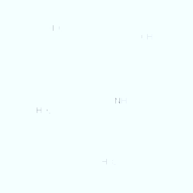 CC[CH]Nc1c(CC)cc(C)cc1CC